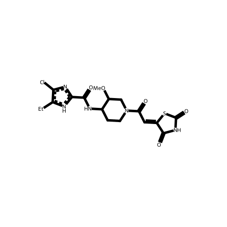 CCc1[nH]c(C(=O)NC2CCN(C(=O)C=C3SC(=O)NC3=O)CC2OC)nc1Cl